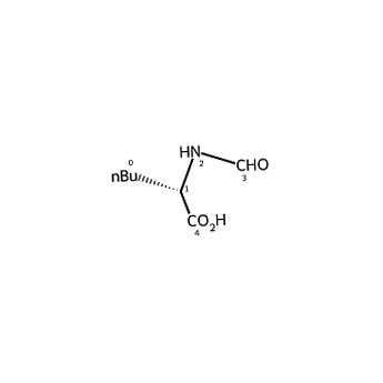 CCCC[C@H](NC=O)C(=O)O